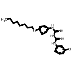 CCCCCCCCOc1ccc(NC(=N)NC(=N)Nc2cccc(Cl)c2)cc1